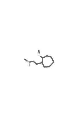 CNCCC1CCCCCC1OC